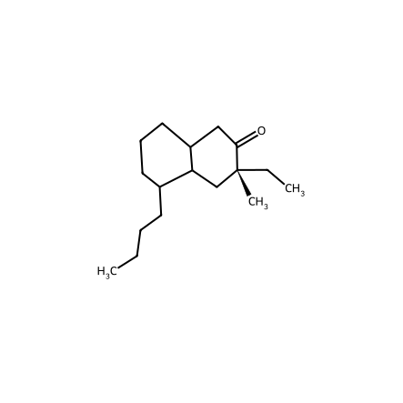 CCCCC1CCCC2CC(=O)[C@](C)(CC)CC12